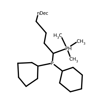 CCCCCCCCCCCCCC(P(C1CCCCC1)C1CCCCC1)[PH](C)(C)C